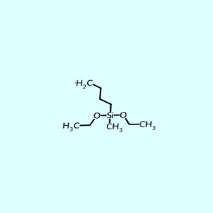 [CH2]CCC[Si](C)(OCC)OCC